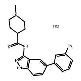 CN1CCC(C(=O)Nc2n[nH]c3ccc(-c4cccc(C#N)c4)cc23)CC1.Cl